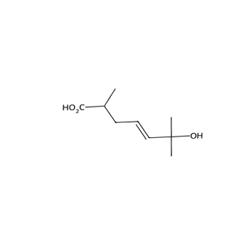 CC(C/C=C/C(C)(C)O)C(=O)O